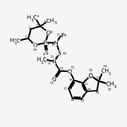 CC1CC(C)(C)OP(=S)(N(SN(C)C(=O)Oc2cccc3c2OC(C)(C)C3)C(C)C)O1